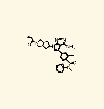 C=CC(=O)N1CC2CC(n3cc(-c4ccc(C(=O)N(C)c5ccccc5)c(C)c4)c4c(N)ncnc43)CC2C1